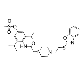 CC(C)c1cc(OS(C)(=O)=O)cc(C(C)C)c1NC(=O)CN1CCN(CCSc2nc3ccccc3o2)CC1